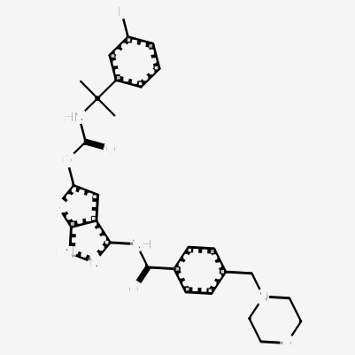 CC(C)(NC(=O)Oc1cc2c(NC(=O)c3ccc(CN4CCOCC4)cc3)n[nH]c2s1)c1cccc(F)c1